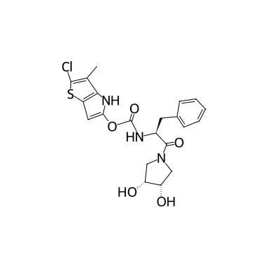 Cc1c(Cl)sc2cc(OC(=O)N[C@@H](Cc3ccccc3)C(=O)N3C[C@@H](O)[C@@H](O)C3)[nH]c12